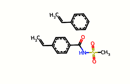 C=Cc1ccc(C(=O)NS(C)(=O)=O)cc1.C=Cc1ccccc1